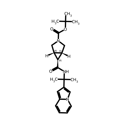 CC(C)(C)OC(=O)N1C[C@@H]2[C@H](C1)[C@H]2C(=O)NC(C)(C)c1cc2ccccn2c1